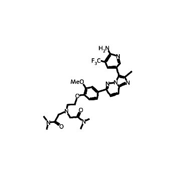 COc1cc(-c2ccc3nc(C)c(-c4cnc(N)c(C(F)(F)F)c4)n3n2)ccc1OCCN(CC(=O)N(C)C)CC(=O)N(C)C